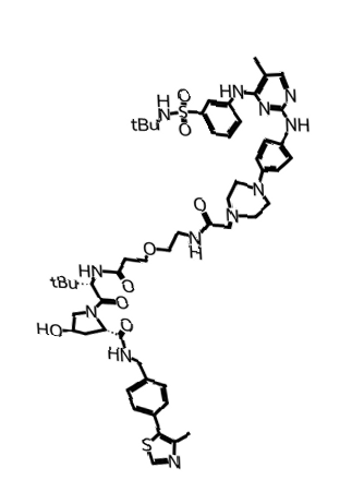 Cc1cnc(Nc2ccc(N3CCN(CC(=O)NCCOCCC(=O)N[C@H](C(=O)N4C[C@H](O)C[C@H]4C(=O)NCc4ccc(-c5scnc5C)cc4)C(C)(C)C)CC3)cc2)nc1Nc1cccc(S(=O)(=O)NC(C)(C)C)c1